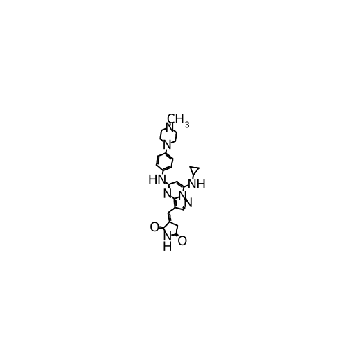 CN1CCN(c2ccc(Nc3cc(NC4CC4)n4ncc(/C=C5\CC(=O)NC5=O)c4n3)cc2)CC1